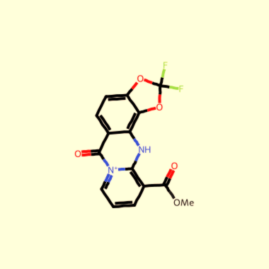 COC(=O)c1ccc[n+]2c(=O)c3ccc4c(c3[nH]c12)OC(F)(F)O4